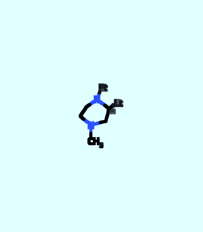 CC[C@H]1CN(C)CCN1CC